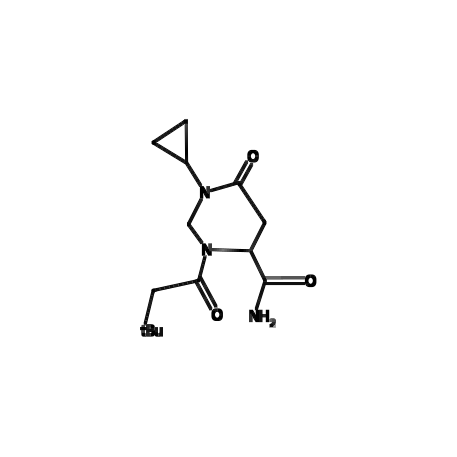 CC(C)(C)CC(=O)N1CN(C2CC2)C(=O)CC1C(N)=O